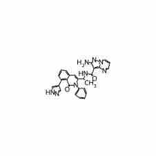 C[C@H](NC(=O)c1c(N)nn2cccnc12)c1cc2cccc(-c3cn[nH]c3)c2c(=O)n1-c1ccccc1